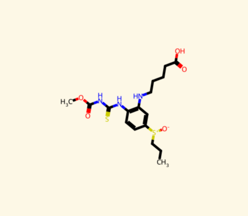 CCC[S+]([O-])c1ccc(NC(=S)NC(=O)OC)c(NCCCCC(=O)O)c1